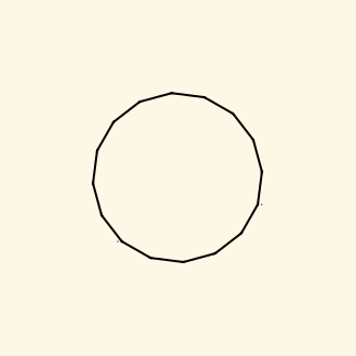 [CH]1CCCC[CH]CCCCCCCCCC1